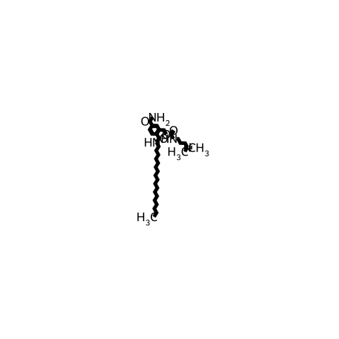 CCCCCCCCCCCCCCCCCCNC(=O)c1ccc(C(N)=O)cc1COC(=O)NCCCN(C)C